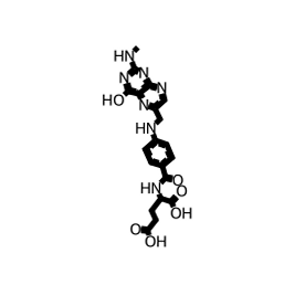 CNc1nc(O)c2nc(CNc3ccc(C(=O)NC(CCC(=O)O)C(=O)O)cc3)cnc2n1